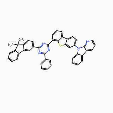 CC1(C)c2ccccc2-c2cc(-c3nc(-c4ccccc4)nc(-c4cccc5c4sc4cc(-n6c7ccccc7c7cccnc76)ccc45)n3)ccc21